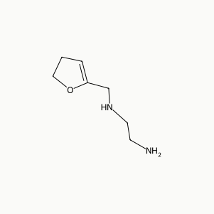 NCCNCC1=CCCO1